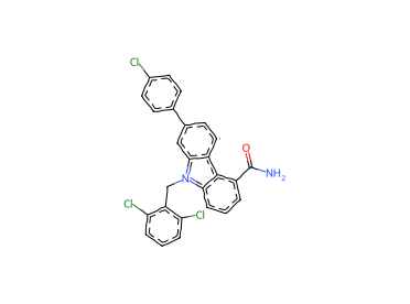 NC(=O)c1cccc2c1c1[c]cc(-c3ccc(Cl)cc3)cc1n2Cc1c(Cl)cccc1Cl